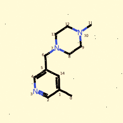 Cc1cncc(CN2CCN(C)CC2)c1